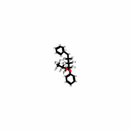 FC(F)(F)C(F)(OC(F)(C(F)(F)F)C(F)(F)Cc1ccccc1)C(F)(F)Cc1ccccc1